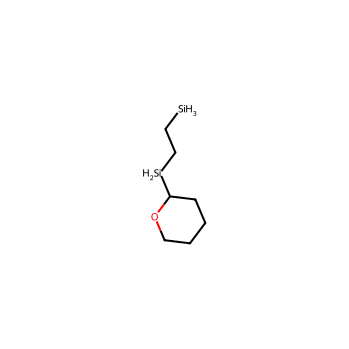 [SiH3]CC[SiH2]C1CCCCO1